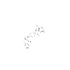 COc1ccccc1Cc1csc(N2CCN(S(=O)(=O)c3cc(Br)ccc3OC)CC2)n1